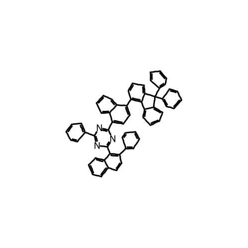 c1ccc(-c2nc(-c3c(-c4ccccc4)ccc4ccccc34)nc(-c3ccc(-c4cccc5c4-c4ccccc4C5(c4ccccc4)c4ccccc4)c4ccccc34)n2)cc1